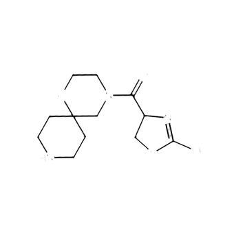 CCC1=NC(C(=O)N2CCOC3(CCNCC3)C2)CS1